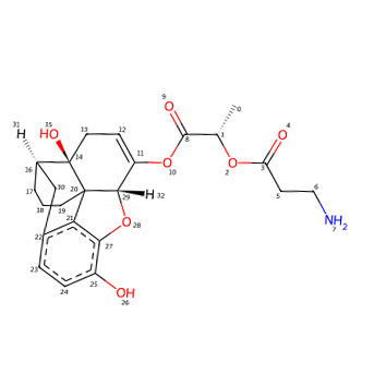 C[C@H](OC(=O)CCN)C(=O)OC1=CC[C@@]2(O)[C@@H]3CCCC24c2c(ccc(O)c2O[C@@H]14)C3